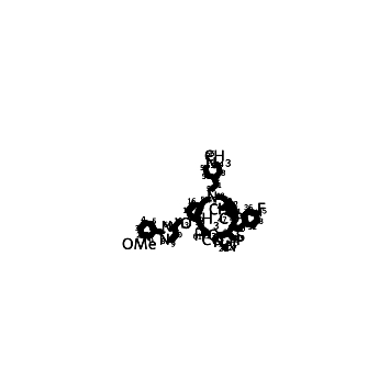 COc1ccccc1-c1nccc(COc2ccc3cc2C[C@H](C(=O)O)Oc2ncnc4sc(-c5ccc(F)cc5)c(c24)-c2ccc(c(Cl)c2C)CN(CCC2CCN(C)CC2)C3)n1